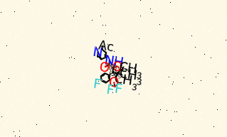 CC(=O)c1cc(NC(=O)[C@@H]2OC(C)(C)[C@H](C)[C@H]2c2ccc(F)cc2OC(F)F)ccn1